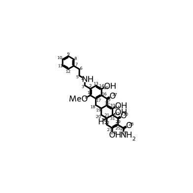 COc1c(CNCCc2ccccc2)cc(O)c2c1CC1C[C@H]3CC(O)=C(C(N)=O)C(=O)[C@@]3(O)C(O)=C1C2=O